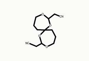 N#CCC1OCCCC2(CCCOC(CC#N)O2)O1